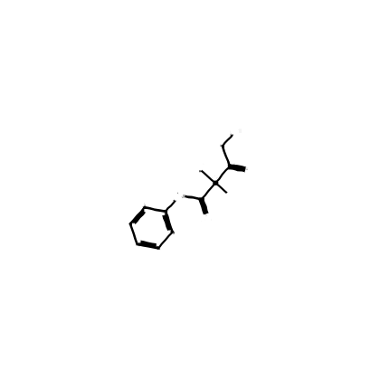 O=C(CBr)C(Cl)(Cl)C(=O)Nc1ccccc1